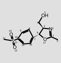 CC1=N[C@H](CO)[C@@H](c2ccc(S(C)(=O)=O)cc2)O1